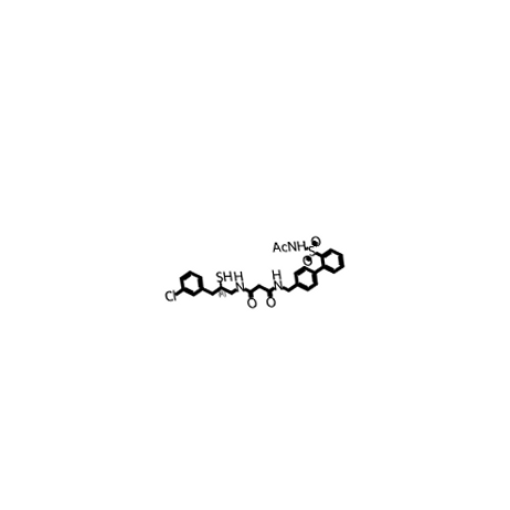 CC(=O)NS(=O)(=O)c1ccccc1-c1ccc(CNC(=O)CC(=O)NC[C@H](S)Cc2cccc(Cl)c2)cc1